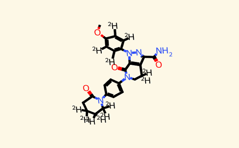 [2H]c1c([2H])c(-n2nc(C(N)=O)c3c2C(=O)N(c2ccc(N4C(=O)CC([2H])([2H])C([2H])([2H])C4([2H])[2H])cc2)CC3([2H])[2H])c([2H])c([2H])c1OC